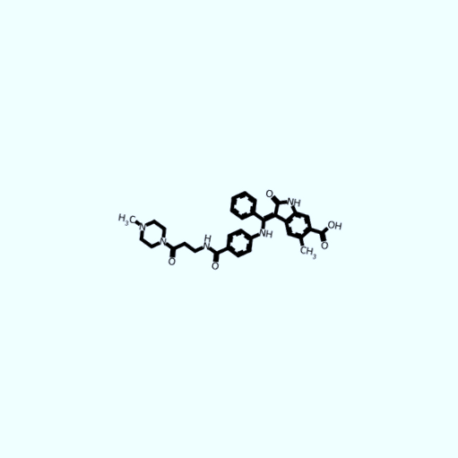 Cc1cc2c(cc1C(=O)O)NC(=O)C2=C(Nc1ccc(C(=O)NCCC(=O)N2CCN(C)CC2)cc1)c1ccccc1